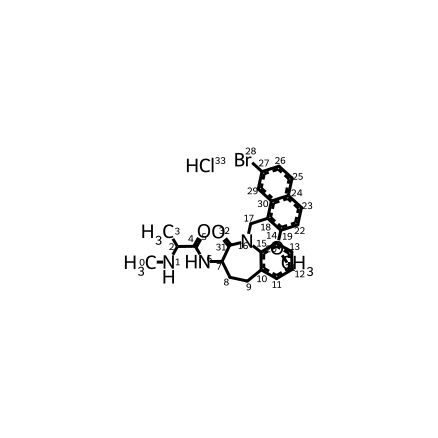 CNC(C)C(=O)NC1CCc2ccccc2N(Cc2c(OC)ccc3ccc(Br)cc23)C1=O.Cl